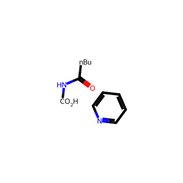 CCCCC(=O)NC(=O)O.c1ccncc1